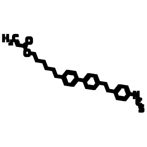 C=CC(=O)OCCCCCCc1ccc(-c2ccc(CCc3ccc(N=C=S)cc3)cc2)cc1